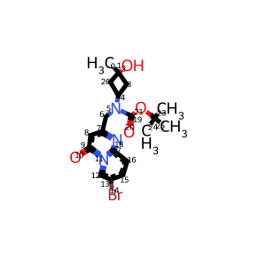 CC1(O)CC(N(Cc2cc(=O)n3cc(Br)ccc3n2)C(=O)OC(C)(C)C)C1